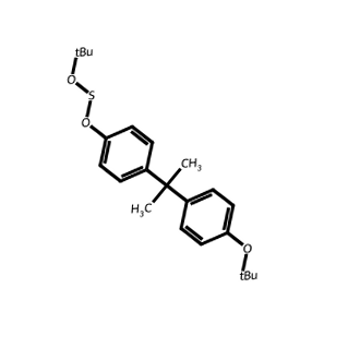 CC(C)(C)OSOc1ccc(C(C)(C)c2ccc(OC(C)(C)C)cc2)cc1